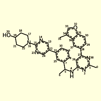 Cc1nc(NC(C)c2cccc(-c3cnc(N4CCC(O)CC4)nc3)c2)cc(-c2ccc3occ(C)c3c2)n1